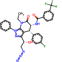 CCN1C(=O)[C@H](NC(=O)c2cccc(C(F)(F)F)c2)[C@H](c2ccc(F)cc2)c2c([C@H](O)CN=[N+]=[N-])nn(-c3ccccc3)c21